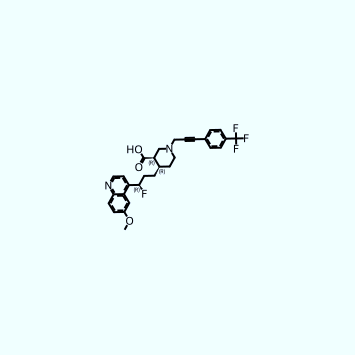 COc1ccc2nccc([C@H](F)CC[C@@H]3CCN(CC#Cc4ccc(C(F)(F)F)cc4)C[C@@H]3C(=O)O)c2c1